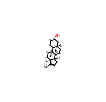 CC(=O)C1=CC[C@H]2[C@@H]3CC[C@H]4C[C@@H](O)CC[C@]4(C)[C@H]3CC[C@]12C